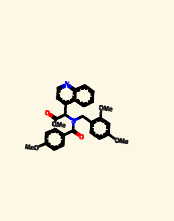 COC(=O)C(c1ccnc2ccccc12)N(Cc1ccc(OC)cc1OC)C(=O)c1ccc(OC)cc1